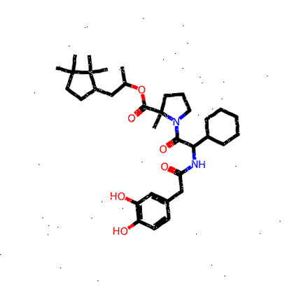 CC(CC1CCC(C)(C)C1(C)C)OC(=O)C1(C)CCCN1C(=O)C(NC(=O)Cc1ccc(O)c(O)c1)C1CCCCC1